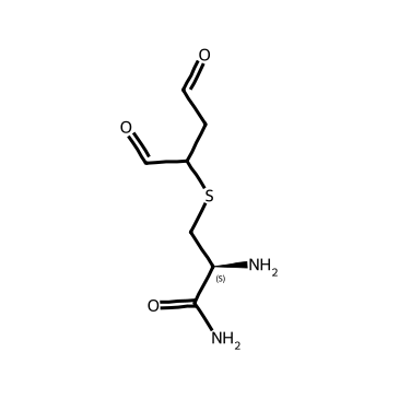 NC(=O)[C@H](N)CSC(C=O)CC=O